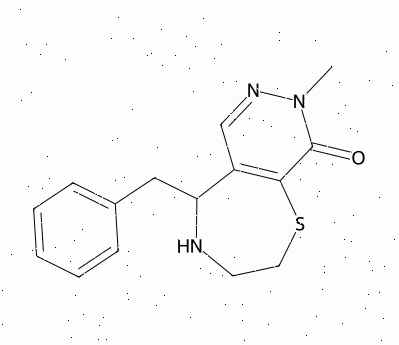 Cn1ncc2c(c1=O)SCCNC2Cc1ccccc1